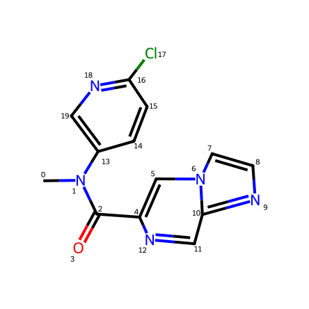 CN(C(=O)c1cn2ccnc2cn1)c1ccc(Cl)nc1